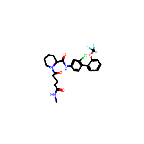 CNC(=O)CCCC(=O)N1CCCCC1C(=O)Nc1ccc(-c2ccccc2OC(F)(F)F)c(Cl)c1